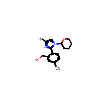 N#Cc1ccc(-c2nc(C(F)(F)F)cn2C2CCCCO2)c(CO)c1